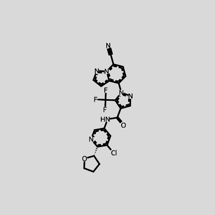 N#Cc1ccc(-n2ncc(C(=O)Nc3cnc([C@@H]4CCCO4)c(Cl)c3)c2C(F)(F)F)c2ccnn12